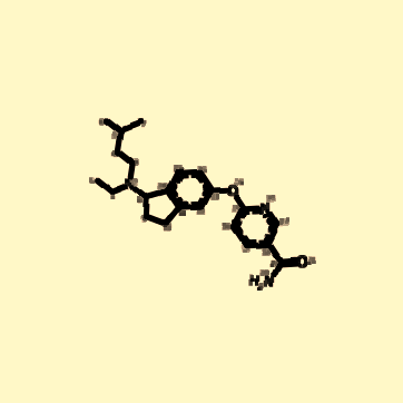 CCN(CCC(C)C)C1CCc2cc(Oc3ccc(C(N)=O)cn3)ccc21